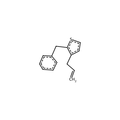 C=CCc1ccsc1Cc1ccccc1